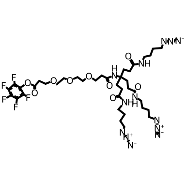 [N-]=[N+]=NCCCCNC(=O)CCC(CCC(=O)NCCCCN=[N+]=[N-])(CCC(=O)NCCCCN=[N+]=[N-])NC(=O)CCOCCOCCOCCC(=O)Oc1c(F)c(F)c(F)c(F)c1F